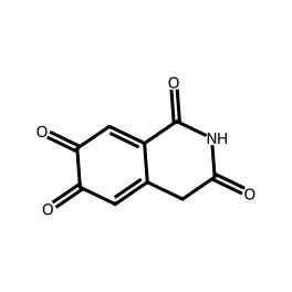 O=C1CC2=CC(=O)C(=O)C=C2C(=O)N1